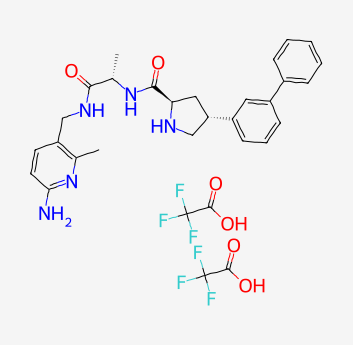 Cc1nc(N)ccc1CNC(=O)[C@H](C)NC(=O)[C@H]1C[C@H](c2cccc(-c3ccccc3)c2)CN1.O=C(O)C(F)(F)F.O=C(O)C(F)(F)F